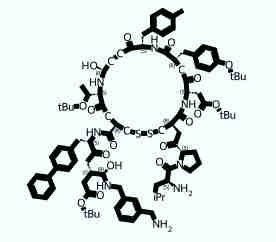 Cc1ccc(C[C@@H]2NC(=O)[C@H](Cc3ccc(OC(C)(C)C)cc3)CC(=O)[C@H](CC(=O)OC(C)(C)C)NC(=O)[C@@H](CC(=O)[C@@H]3CCCN3C(=O)[C@@H](N)CC(C)C)CSSC[C@@H](C(=O)N[C@@H](Cc3ccc(-c4ccccc4)cc3)C(=O)C[C@@H](CC(=O)OC(C)(C)C)[C@@H](O)NCc3cccc(CN)c3)CC(=O)[C@H](C(C)OC(C)(C)C)N[C@H](O)CCC2=O)cc1